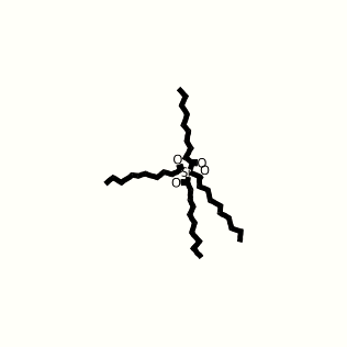 CCCCCCCCCC(=O)[Si](C(=O)CCCCCCCCC)(C(=O)CCCCCCCCC)C(=O)CCCCCCCCC